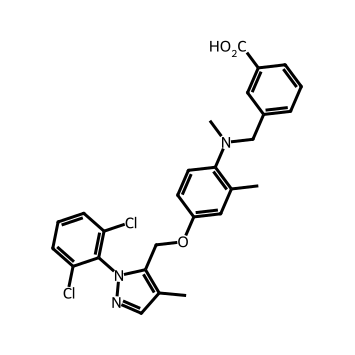 Cc1cc(OCc2c(C)cnn2-c2c(Cl)cccc2Cl)ccc1N(C)Cc1cccc(C(=O)O)c1